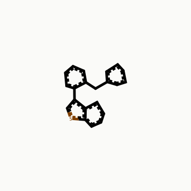 c1ccc(Cc2ccccc2-c2csc3ccccc23)cc1